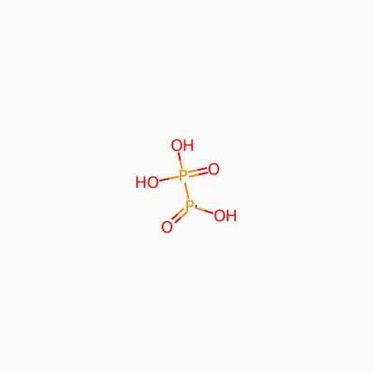 O=[P](O)P(=O)(O)O